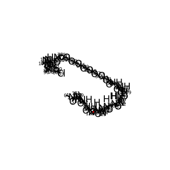 CCCNC(=O)c1nc(NC(=O)CCNC(=O)c2cc(NC(=O)c3nc(NC(=O)CCNC(=O)c4cc(NC(=O)c5nc(NC(=O)CCNC(=O)COCCOCCOCCOCCOCCOCCOCCOc6ccc(NC(=O)C[C@@H]7N=C(c8ccc(Cl)cc8)c8c(sc(C)c8C)-n8c(C)nnc87)cc6)cn5C)cn4C)cn3C)cn2C)cn1C